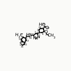 CCOc1cc(-c2cc(NCCc3cc4ccsc4cc3C)ncn2)ccc1C(=O)O